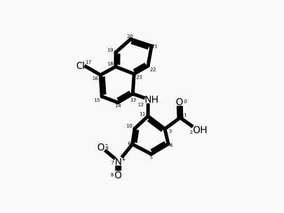 O=C(O)c1ccc([N+](=O)[O-])cc1Nc1ccc(Cl)c2ccccc12